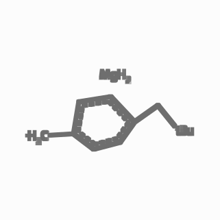 [CH2]c1ccc(CC(C)(C)C)cc1.[MgH2]